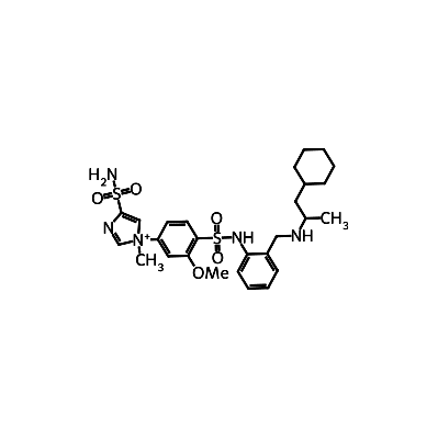 COc1cc([N+]2(C)C=NC(S(N)(=O)=O)=C2)ccc1S(=O)(=O)Nc1ccccc1CNC(C)CC1CCCCC1